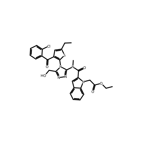 CCOC(=O)Cn1c(C(=O)N(C)c2nnc(CO)n2-c2sc(CC)cc2C(=O)c2ccccc2Cl)cc2ccccc21